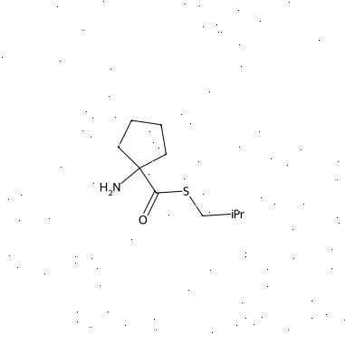 CC(C)CSC(=O)C1(N)CCCC1